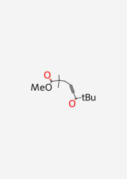 COC(=O)C(C)(C)CC#CC(=O)C(C)(C)C